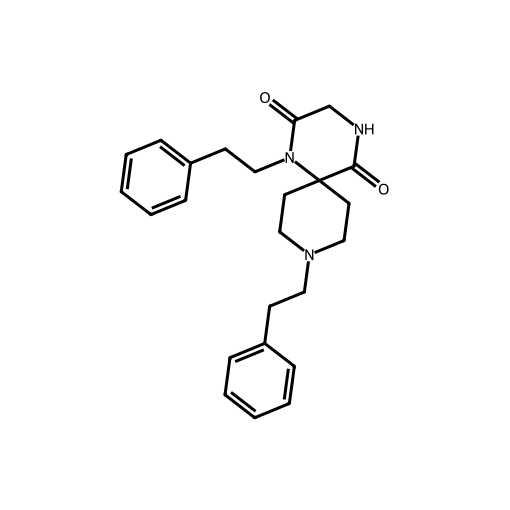 O=C1CNC(=O)C2(CCN(CCc3ccccc3)CC2)N1CCc1ccccc1